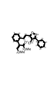 COC=C(C(=O)OC)c1ccccc1C=Cc1onc(-c2ccccc2)c1Cl